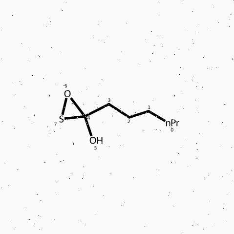 CCCCCCC1(O)OS1